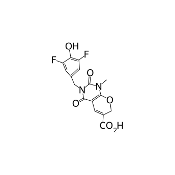 Cn1c2c(c(=O)n(Cc3cc(F)c(O)c(F)c3)c1=O)C=C(C(=O)O)CO2